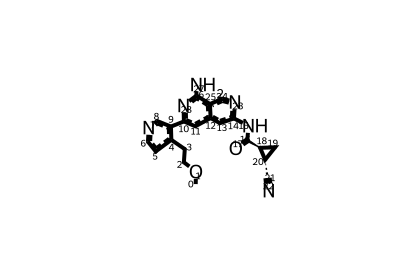 COCCc1ccncc1-c1cc2cc(NC(=O)[C@H]3C[C@@H]3C#N)ncc2c(N)n1